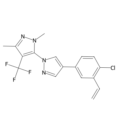 C=Cc1cc(-c2cnn(-c3c(C(F)(F)F)c(C)nn3C)c2)ccc1Cl